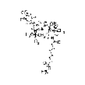 COC(=O)CCCCCCC(=O)N1CCN(C(=O)c2ccc3c(-c4ccc(Cl)c(F)c4)cn(C(C)(C)C)c3n2)C(C)(C)C1